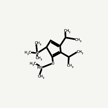 CC(C)C1=CC([Si](C)(C)C)C(O[SiH](C)C)=C1C(C)C